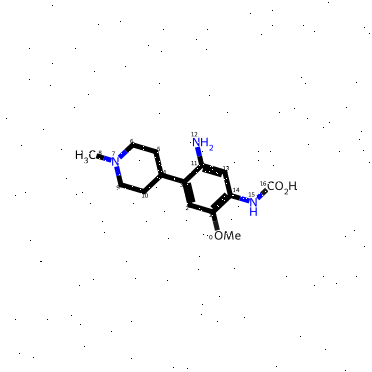 COc1cc(C2CCN(C)CC2)c(N)cc1NC(=O)O